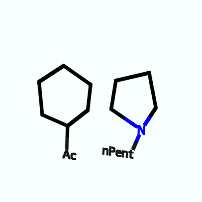 CC(=O)C1CCCCC1.CCCCCN1CCCC1